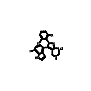 CCc1cccc(CC)c1-n1nc2c(c1-c1ccc(F)c3[nH]ccc13)CNCC2.Cl